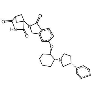 O=C1NC(=O)C2(N3Cc4cc(O[C@@H]5CCCC[C@H]5N5CC[C@H](c6ccccc6)C5)ccc4C3=O)CC1C2